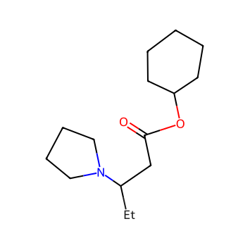 CCC(CC(=O)OC1CCCCC1)N1CCCC1